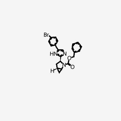 O=C(OCc1ccccc1)N1C2C[C@@H]2C[C@H]1c1ncc(-c2ccc(Br)cc2)[nH]1